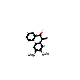 C=C(C(=O)c1ccccc1)c1ccc(OC)c(OC)c1